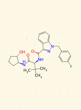 CC(C)(C)[C@H](NC(=O)c1nn(Cc2ccc(F)cc2)c2ccccc12)C(=O)N[C@H]1CCCC1O